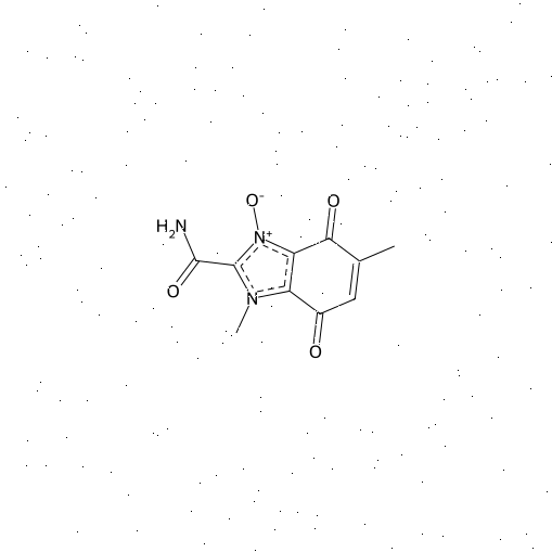 CC1=CC(=O)c2c([n+]([O-])c(C(N)=O)n2C)C1=O